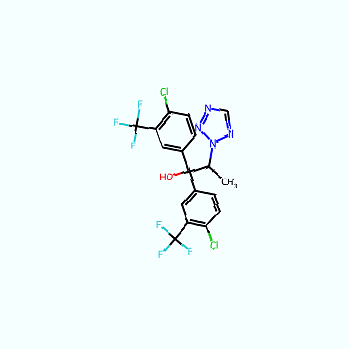 CC(n1ncnn1)C(O)(c1ccc(Cl)c(C(F)(F)F)c1)c1ccc(Cl)c(C(F)(F)F)c1